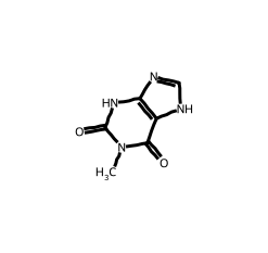 Cn1c(=O)[nH]c2nc[nH]c2c1=O